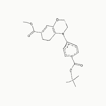 COC(=O)C1=CC2=C(CC1)N(c1ccc(C(=O)OC(C)(C)C)cc1)CCO2